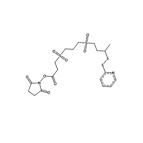 CC(CCS(=O)(=O)CCCS(=O)(=O)CCC(=O)ON1C(=O)CCC1=O)SSc1ccccn1